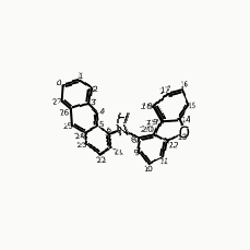 c1ccc2cc3c(Nc4cccc5oc6ccccc6c45)cccc3cc2c1